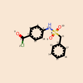 O=C(Cl)c1ccc(NS(=O)(=O)Cc2ccccc2)cc1